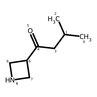 CC(C)CC(=O)C1CNC1